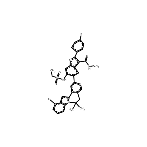 CCS(=O)(=O)Nc1cc2oc(-c3ccc(F)cc3)c(C(=O)NC)c2cc1-c1cc2c(cn1)CC(C)(C)n1c-2cc2c(F)cccc21